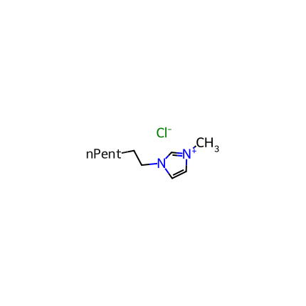 CCCCCCCn1cc[n+](C)c1.[Cl-]